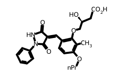 CCCOc1ccc(/C=C2/C(=O)NN(c3ccccc3)C2=O)c(OC[C@@H](O)CC(=O)O)c1C